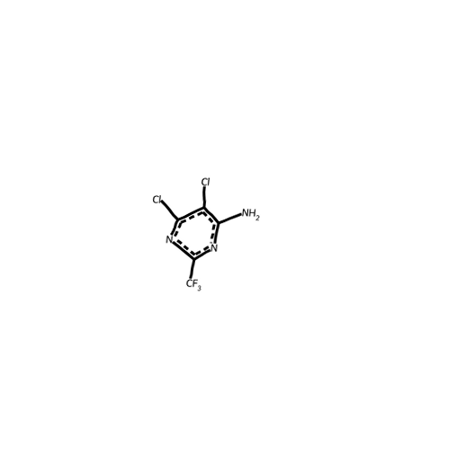 Nc1nc(C(F)(F)F)nc(Cl)c1Cl